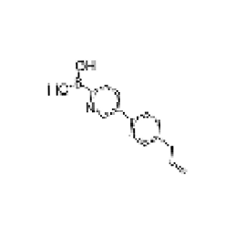 C=CCc1ccc(-c2ccc(B(O)O)nc2)cc1